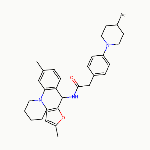 CC(=O)C1CCN(c2ccc(CC(=O)NC(c3ccc(C)o3)c3ccc(C)cc3N3CCCCC3)cc2)CC1